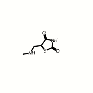 CNCC1SC(=O)NC1=O